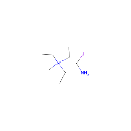 CC[N+](C)(CC)CC.NCI